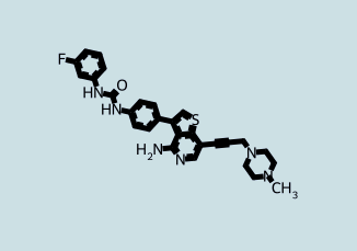 CN1CCN(CC#Cc2cnc(N)c3c(-c4ccc(NC(=O)Nc5cccc(F)c5)cc4)csc23)CC1